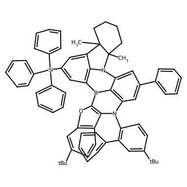 CC(C)(C)c1ccc(N2c3cc(-c4ccccc4)cc4c3B(c3cc([Si](c5ccccc5)(c5ccccc5)c5ccccc5)cc5c3N4C3(C)CCCCC53C)c3oc4cc(C(C)(C)C)ccc4c32)c(-c2ccccc2)c1